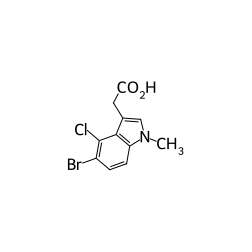 Cn1cc(CC(=O)O)c2c(Cl)c(Br)ccc21